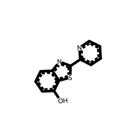 Oc1cccc2nc(-c3ccccn3)sc12